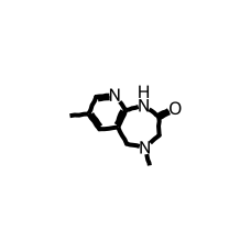 Cc1cnc2c(c1)CN(C)CC(=O)N2